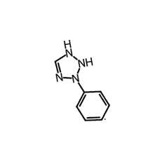 [c]1ccc(N2N=CNN2)cc1